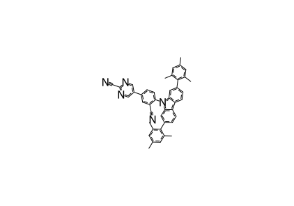 Cc1cc(C)c(-c2ccc3c4ccc(-c5c(C)cc(C)cc5C)cc4n(-c4ccc(-c5cnc(C#N)nc5)cc4C#N)c3c2)c(C)c1